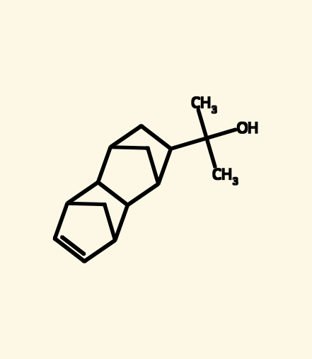 CC(C)(O)C1CC2CC1C1C3C=CC(C3)C21